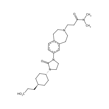 CN(C)C(=O)CCN1CCc2ccc(N3CCN([C@H]4CC[C@H](CCC(=O)O)CC4)C3=O)cc2CC1